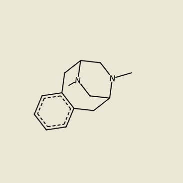 CN1CC2Cc3ccccc3CC1CN2C